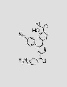 N#Cc1ccc(-c2cc(C(=O)N3CC[C@H](N)C3)ccc2-c2ccc(C3(C4(O)CC4)CC3)cc2)cc1